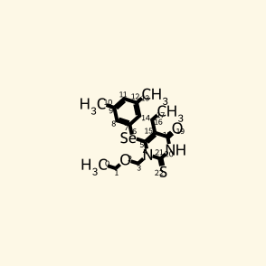 CCOCn1c([Se]c2cc(C)cc(C)c2)c(CC)c(=O)[nH]c1=S